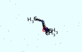 CCCCCCCC/C=C\CCCCCCCC(=O)ON(CCCC)CCCC